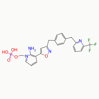 Nc1c(-c2cc(Cc3ccc(Cc4cccc(C(F)(F)F)n4)cc3)no2)ccc[n+]1COP(=O)(O)O